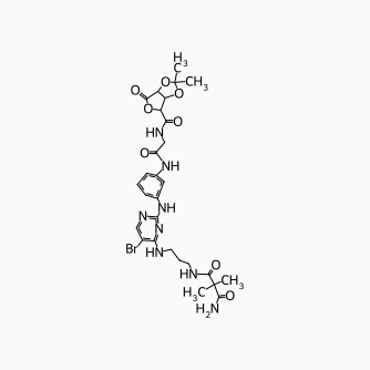 CC1(C)OC2C(=O)OC(C(=O)NCC(=O)Nc3cccc(Nc4ncc(Br)c(NCCCNC(=O)C(C)(C)C(N)=O)n4)c3)C2O1